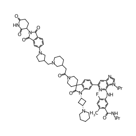 Cc1cc(F)c(Nc2nc(-c3ccc4c(c3)N([C@H]3C[C@@H](N5CCCCC5)C3)C(=O)C43CCN(C(=O)CC4CCCN(CC5CCN(c6ccc7c(c6)C(=O)N(C6CCC(=O)NC6=O)C7=O)C5)C4)CC3)cc3ncn(C(C)C)c23)cc1C(=O)NC(C)C